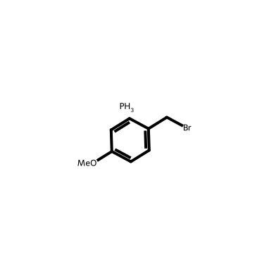 COc1ccc(CBr)cc1.P